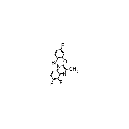 Cc1nc2c(F)c(F)ccc2nc1Oc1cc(F)ccc1Br